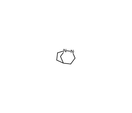 C1CC2CCN(C2)[N]1